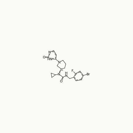 O=C(NCc1ccc(Br)cc1F)N(C1CC1)[C@@H]1CCCN(c2ccnc(=O)[nH]2)C1